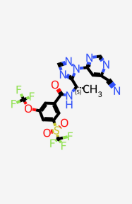 C[C@H](NC(=O)c1cc(OC(F)(F)F)cc(S(=O)(=O)C(F)(F)F)c1)c1ncnn1-c1cc(C#N)ncn1